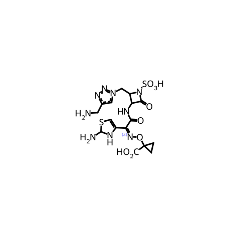 NCc1cn(CC2C(NC(=O)/C(=N\OC3(C(=O)O)CC3)C3=CSC(N)N3)C(=O)N2S(=O)(=O)O)nn1